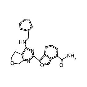 NC(=O)c1cccc2c(-c3nc4c(c(NCc5ccccc5)n3)CCOC4)occ12